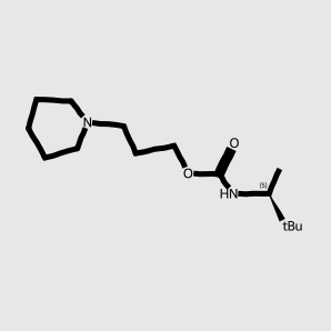 C[C@H](NC(=O)OCCCN1CCCCC1)C(C)(C)C